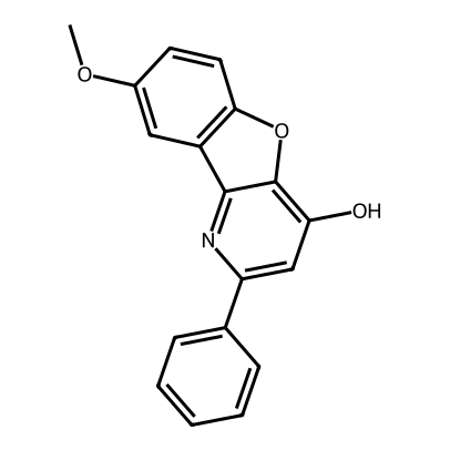 COc1ccc2oc3c(O)cc(-c4ccccc4)nc3c2c1